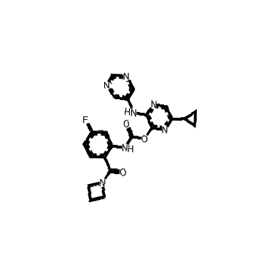 O=C(Nc1cc(F)ccc1C(=O)N1CCC1)Oc1nc(C2CC2)cnc1Nc1cncnc1